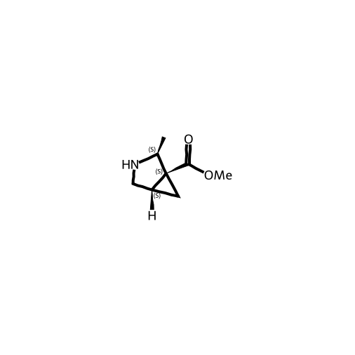 COC(=O)[C@@]12C[C@@H]1CN[C@H]2C